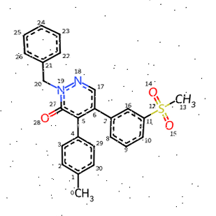 Cc1ccc(-c2c(-c3cccc(S(C)(=O)=O)c3)cnn(Cc3ccccc3)c2=O)cc1